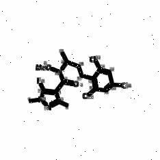 CON(C(=O)c1c(C)nn(C)c1F)C(C)CCc1c(Cl)cc(Cl)cc1Cl